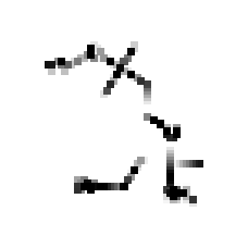 CCCOC(C)(C)CCOC(C)(N)CCC(C)C